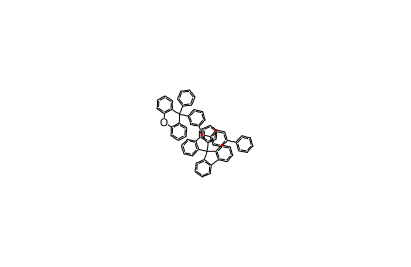 c1ccc(-c2ccc(N(c3cccc(C4(c5ccccc5)c5ccccc5Oc5ccccc54)c3)c3ccccc3C3(c4ccccc4)c4ccccc4-c4ccccc43)cc2)cc1